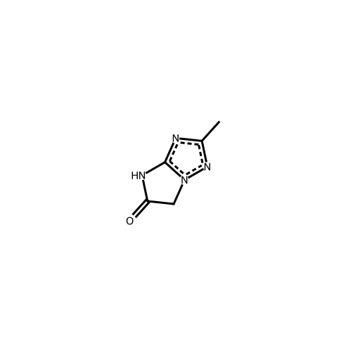 Cc1nc2n(n1)CC(=O)N2